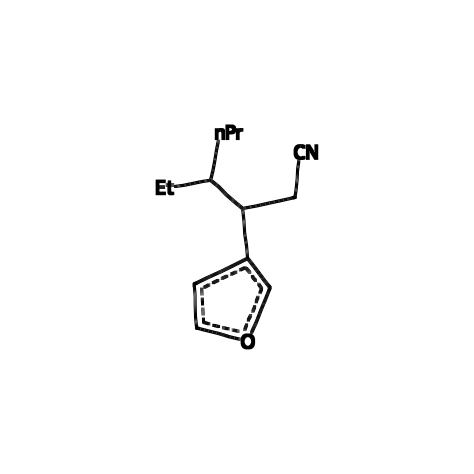 CCCC(CC)C(CC#N)c1ccoc1